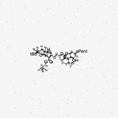 C=C(C)[C@@H]1CCC(C)=C[C@H]1c1c(O)cc(CCCCC)cc1OC(=O)OC/C=C/C1=C(C(=O)OCC[Si](C)(C)C)N2C(=O)[C@](C)([C@@H](C)O[Si](C)(C)C(C)(C)C)[C@H]2S1